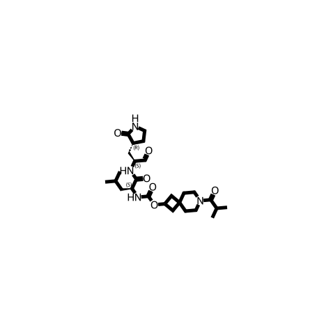 CC(C)C[C@H](NC(=O)OC1CC2(CCN(C(=O)C(C)C)CC2)C1)C(=O)N[C@H](C=O)C[C@H]1CCNC1=O